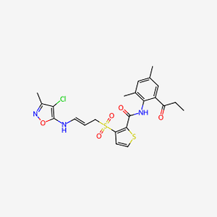 CCC(=O)c1cc(C)cc(C)c1NC(=O)c1sccc1S(=O)(=O)CC=CNc1onc(C)c1Cl